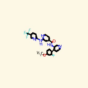 COc1ccc(-c2ccncc2NC(=O)c2ccnc(Nc3ccc(C(F)(F)F)cn3)c2)c(F)c1